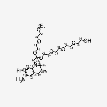 CCOCCOCCOC(CN1c2cc(C(C)C)c(N)cc2CC(C)C1(C)C)OCCOCCOCCOCCO